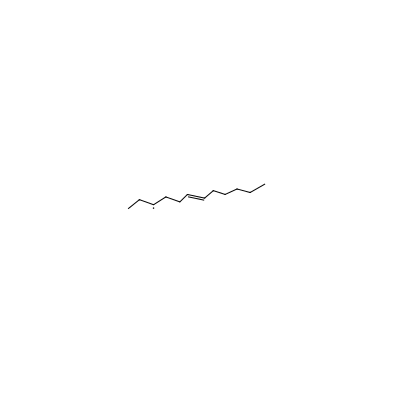 CC[CH]CCC=CCCCCC